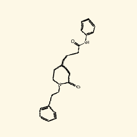 O=C(CCC1CCN(CCc2ccccc2)C(=O)C1)Nc1ccccc1